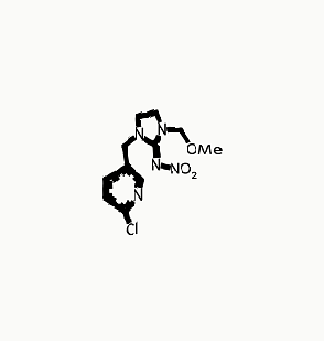 COCN1CCN(Cc2ccc(Cl)nc2)C1=N[N+](=O)[O-]